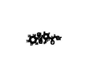 Cc1c(C(=O)CBr)ccn1S(=O)(=O)c1ccccc1